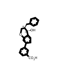 O=C(O)c1cccc(-c2ccc3c(c2)OC[C@@H](Cc2ccccc2)[C@@H]3O)c1